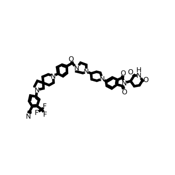 N#Cc1ccc(N2CCC3(CCN(c4ccc(C(=O)N5CCN(C6CCN(c7ccc8c(c7)C(=O)N(C7CCC(=O)NC7=O)C8=O)CC6)CC5)cc4)CC3)C2)cc1C(F)(F)F